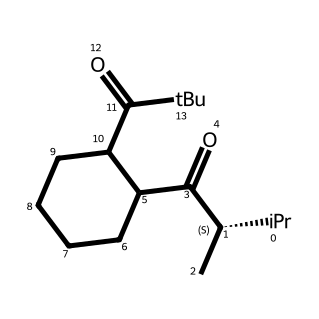 CC(C)[C@H](C)C(=O)C1CCCCC1C(=O)C(C)(C)C